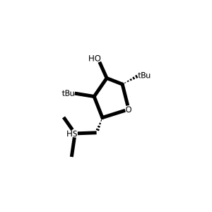 C[SH](C)C[C@H]1O[C@@H](C(C)(C)C)C(O)C1C(C)(C)C